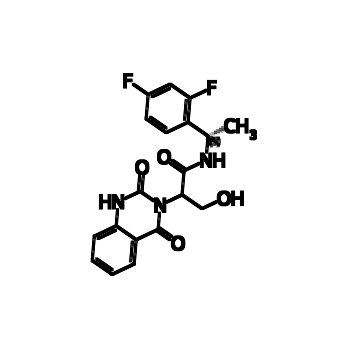 C[C@H](NC(=O)C(CO)n1c(=O)[nH]c2ccccc2c1=O)c1ccc(F)cc1F